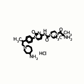 CC(CN1CCCC(N)CC1)c1ccc(-n2ccc(NC(=O)N3CCN(C(=O)C(C)(C)N)CC3)nc2=O)cc1.Cl